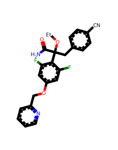 CCOC(Cc1ccc(C#N)cc1)(C(N)=O)c1c(F)cc(OCc2ccccn2)cc1F